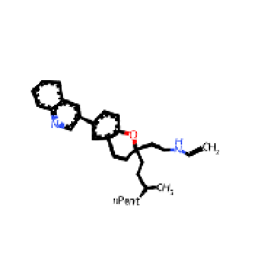 C=CNCCC1(CCC(C)CCCCC)CCc2cc(-c3cnc4ccccc4c3)ccc2O1